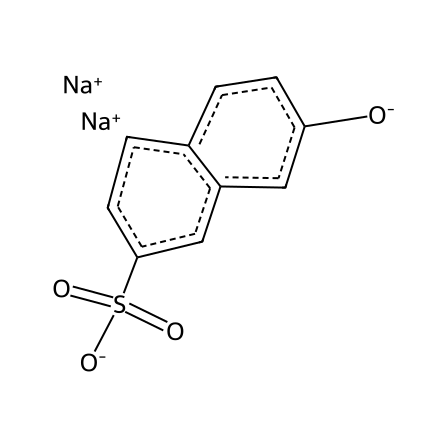 O=S(=O)([O-])c1ccc2ccc([O-])cc2c1.[Na+].[Na+]